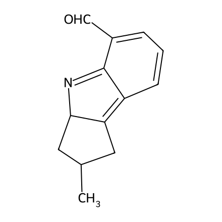 CC1CC2=c3cccc(C=O)c3=NC2C1